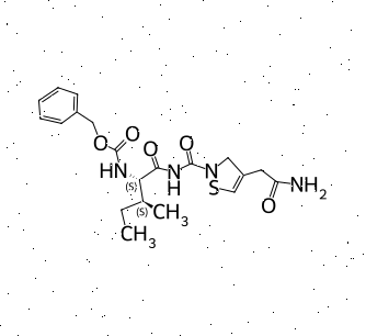 CC[C@H](C)[C@H](NC(=O)OCc1ccccc1)C(=O)NC(=O)N1CC(CC(N)=O)=CS1